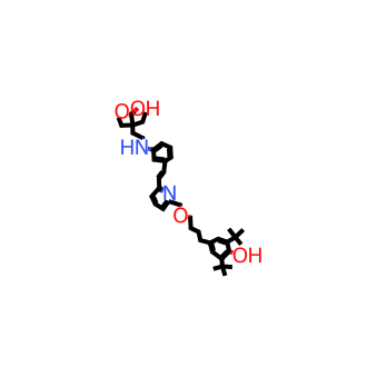 CCC(CC)(CCNc1cccc(C=Cc2cccc(COCCCCc3cc(C(C)(C)C)c(O)c(C(C)(C)C)c3)n2)c1)C(=O)O